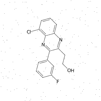 OCCc1nc2cccc(Cl)c2nc1-c1cccc(F)c1